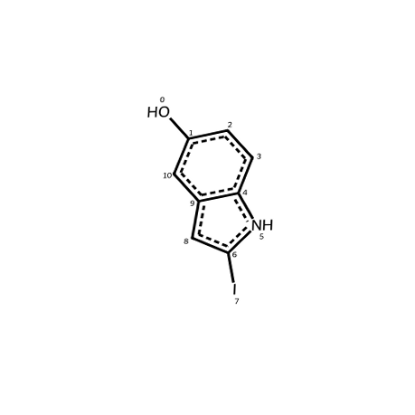 Oc1ccc2[nH]c(I)cc2c1